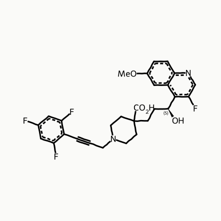 COc1ccc2ncc(F)c([C@@H](O)CCC3(C(=O)O)CCN(CC#Cc4c(F)cc(F)cc4F)CC3)c2c1